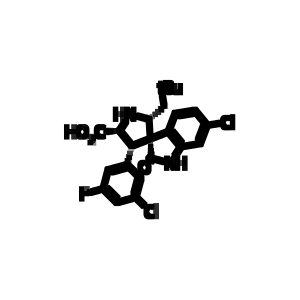 CC(C)(C)C[C@H]1N[C@H](C(=O)O)[C@@H](c2cc(F)cc(Cl)c2)[C@@]12C(=O)Nc1cc(Cl)ccc12